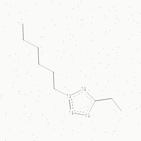 CCCCCCn1nnc(CC)n1